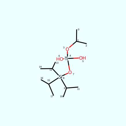 CC(C)[O][Ti]([OH])([OH])[O][Si](C(C)C)(C(C)C)C(C)C